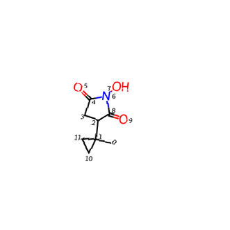 CC1(C2CC(=O)N(O)C2=O)CC1